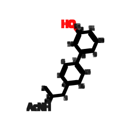 CC(=O)NC(C)Cc1ccc(-c2cccc(O)c2)cc1